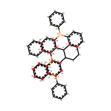 c1ccc(P(CC(C2CCCCC2C(CP(c2ccccc2)c2ccccc2)P(c2ccccc2)c2ccccc2)P(c2ccccc2)c2ccccc2)c2ccccc2)cc1